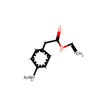 C=COC(=O)Cc1ccc(NC(C)=O)cc1